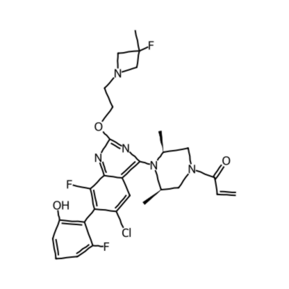 C=CC(=O)N1C[C@@H](C)N(c2nc(OCCN3CC(C)(F)C3)nc3c(F)c(-c4c(O)cccc4F)c(Cl)cc23)[C@@H](C)C1